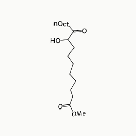 CCCCCCCCC(=O)C(O)CCCCCCCC(=O)OC